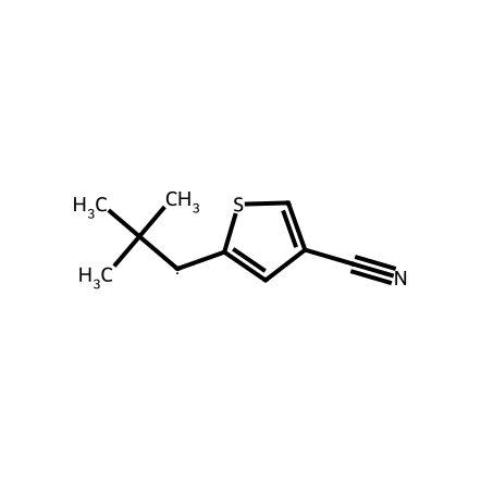 CC(C)(C)[CH]c1cc(C#N)cs1